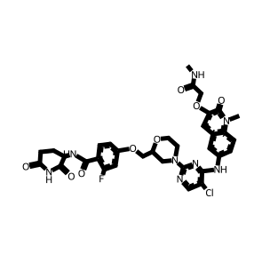 CNC(=O)COc1cc2cc(Nc3nc(N4CCOC(COc5ccc(C(=O)NC6CCC(=O)NC6=O)c(F)c5)C4)ncc3Cl)ccc2n(C)c1=O